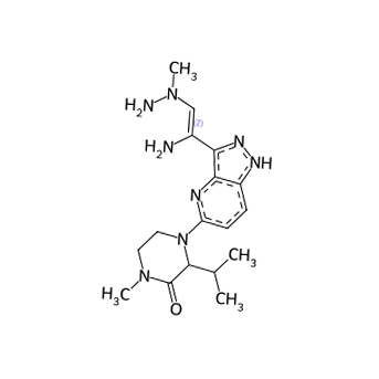 CC(C)C1C(=O)N(C)CCN1c1ccc2[nH]nc(/C(N)=C/N(C)N)c2n1